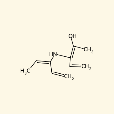 C=C/C(N/C(C=C)=C/C)=C(\C)O